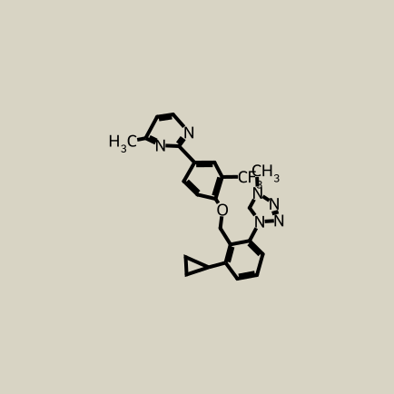 Cc1ccnc(-c2ccc(OCc3c(C4CC4)cccc3N3CN(C)N=N3)c(C(F)(F)F)c2)n1